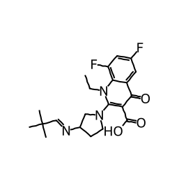 CCn1c(N2CCC(N=CC(C)(C)C)C2)c(C(=O)O)c(=O)c2cc(F)cc(F)c21